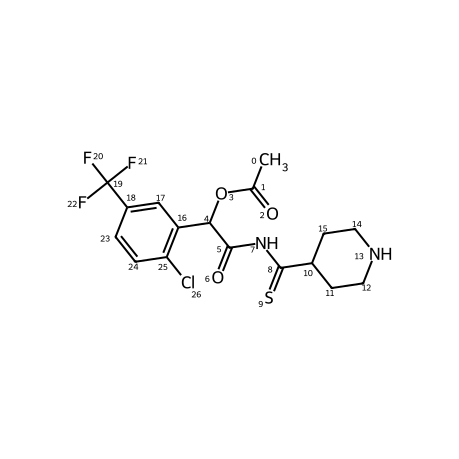 CC(=O)OC(C(=O)NC(=S)C1CCNCC1)c1cc(C(F)(F)F)ccc1Cl